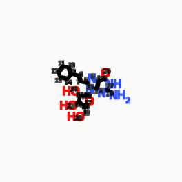 Nc1nc2c(nc(C=Cc3ccccc3)n2[C@@H]2O[C@H](CO)[C@@H](O)[C@H]2O)c(=O)[nH]1